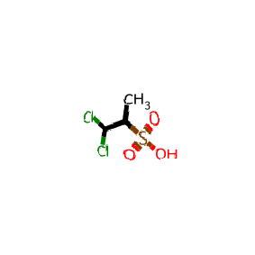 CC(C(Cl)Cl)S(=O)(=O)O